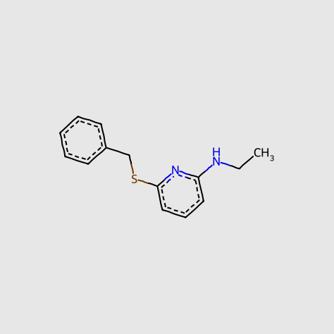 CCNc1cccc(SCc2ccccc2)n1